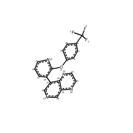 FC(F)(F)c1ccc(Oc2ncccc2-c2cncc3nccnc23)cc1